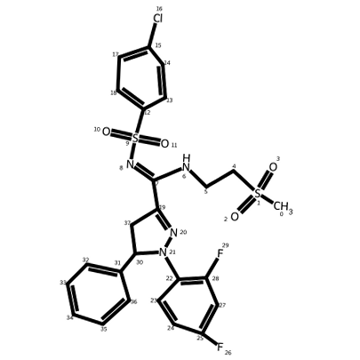 CS(=O)(=O)CCNC(=NS(=O)(=O)c1ccc(Cl)cc1)C1=NN(c2ccc(F)cc2F)C(c2ccccc2)C1